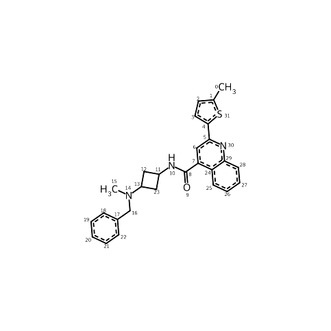 Cc1ccc(-c2cc(C(=O)NC3CC(N(C)Cc4ccccc4)C3)c3ccccc3n2)s1